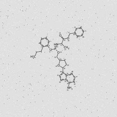 CCCc1ccccc1OP(NC(C)C(=O)OCc1ccccc1)OCC1CCC(n2cnc3c(N)ncnc32)O1